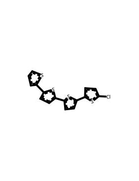 Clc1ccc(-c2ccc(-c3ccc(-c4cccs4)s3)s2)s1